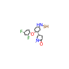 Cn1cc(-c2cc(NS)ccc2Oc2ccc(F)cc2F)ccc1=O